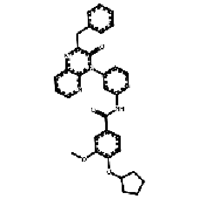 COc1cc(C(=O)Nc2cccc(-n3c(=O)c(Cc4ccccc4)nc4cccnc43)c2)ccc1OC1CCCC1